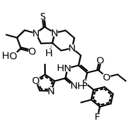 CCOC(=O)/C(Sc1cccc(F)c1C)=C(\CN1CCN2C(=S)N(CC(C)C(=O)O)C[C@@H]2C1)NC(=N)c1ncoc1C